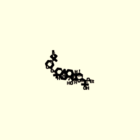 CCO[C@@H]([C@H]1C[C@@H](C)[C@H]2[C@H](O1)[C@H](O)[C@@]1(C)[C@@H]3CC[C@H]4C(C)(C)[C@@H](O[C@H]5CN(C6(C)CN(C)C6)CCO5)CC[C@@]45C[C@@]35CC[C@]21C)C(C)(C)O